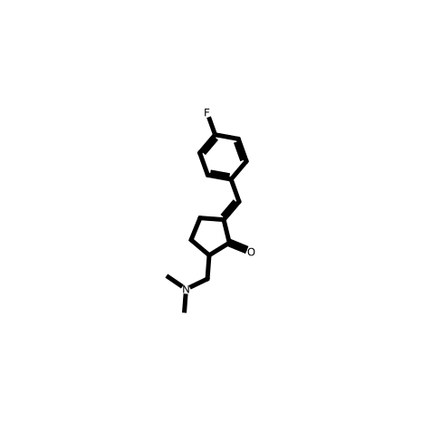 CN(C)CC1CC/C(=C\c2ccc(F)cc2)C1=O